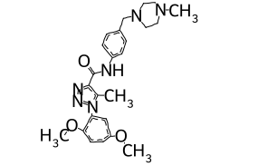 COc1ccc(OC)c(-n2nnc(C(=O)Nc3ccc(CN4CCN(C)CC4)cc3)c2C)c1